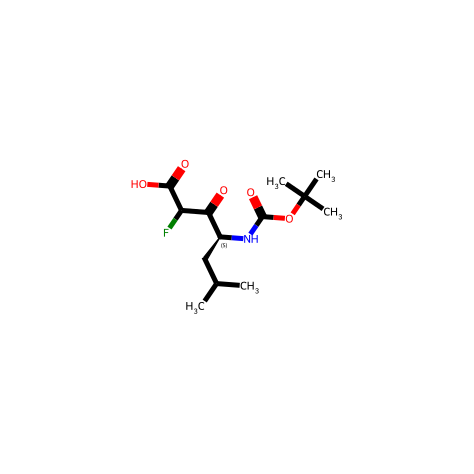 CC(C)C[C@H](NC(=O)OC(C)(C)C)C(=O)C(F)C(=O)O